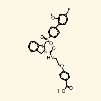 COc1cc(F)ccc1-c1ccc(S(=O)(=O)N2c3ccccc3C[C@H]2C(=O)NCCOc2ccc(C(=O)O)cc2)cc1